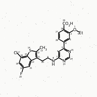 CCOc1cc(-c2cc(NCCc3c(C)sc4c(Cl)cc(F)cc34)ncn2)ccc1C(=O)O